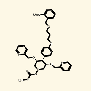 COc1ccccc1COCCCOc1ccc([C@H]2[C@@H](OCc3ccccn3)CN(OC(=O)OC(C)(C)C)C[C@H]2OCc2ccccn2)cc1